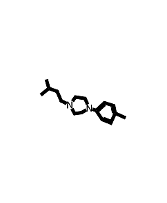 Cc1ccc(N2CCN(CCC(C)C)CC2)cc1